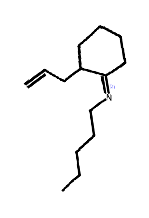 C=CCC1CCCC/C1=N/CCCCC